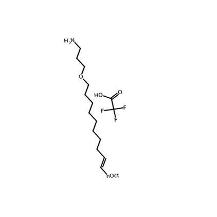 CCCCCCCCC=CCCCCCCCCOCCCN.O=C(O)C(F)(F)F